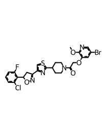 COc1ncc(Br)cc1OCC(=O)N1CCC(c2nc(C3=NOC(c4c(F)cccc4Cl)C3)cs2)CC1